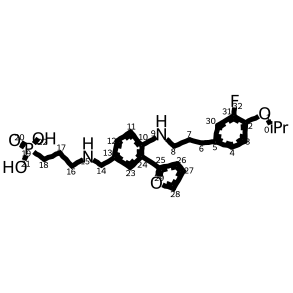 CC(C)Oc1ccc(CCCNc2ccc(CNCCCP(=O)(O)O)cc2-c2ccco2)cc1F